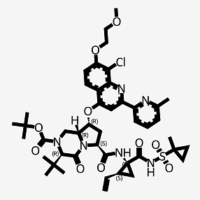 C=C[C@@H]1C[C@]1(NC(=O)[C@@H]1C[C@@H](Oc2cc(-c3cccc(C)n3)nc3c(Cl)c(OCCOC)ccc23)[C@H]2CN(C(=O)OC(C)(C)C)[C@H](C(C)(C)C)C(=O)N21)C(=O)NS(=O)(=O)C1(C)CC1